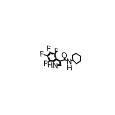 O=C(NC1CCCCC1)c1c[nH]c2c(F)c(F)c(F)c(F)c12